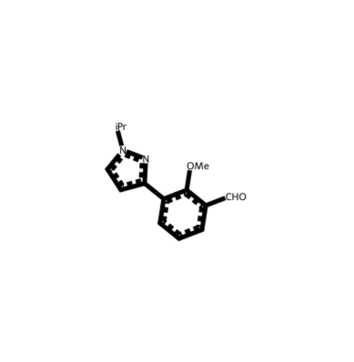 COc1c(C=O)cccc1-c1ccn(C(C)C)n1